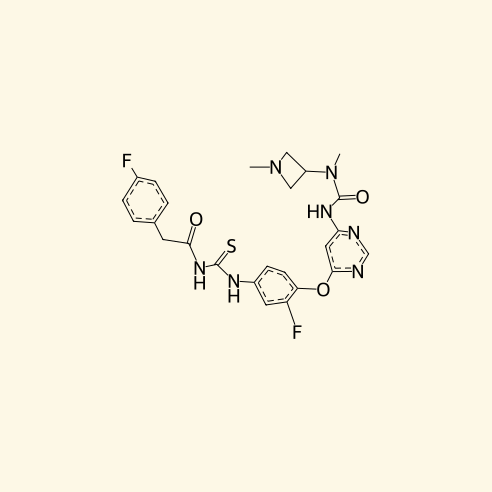 CN1CC(N(C)C(=O)Nc2cc(Oc3ccc(NC(=S)NC(=O)Cc4ccc(F)cc4)cc3F)ncn2)C1